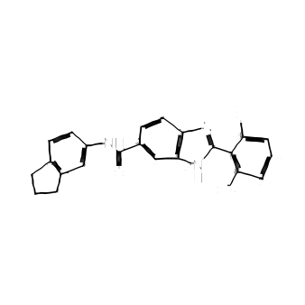 O=C(Nc1ccc2c(c1)CCC2)c1ccc2nc(-c3c(Cl)cccc3Cl)[nH]c2c1